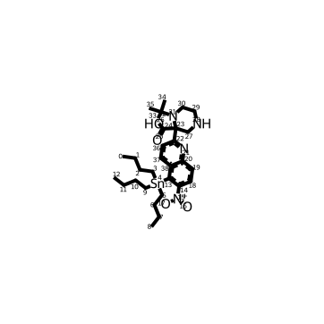 CCC[CH2][Sn]([CH2]CCC)([CH2]CCC)[c]1c([N+](=O)[O-])ccc2nc(C3(C(=O)O)CNCCN3C(C)(C)C)ccc12